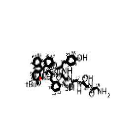 CC(C)(C)OC(=O)NN(C(=O)C(Cc1ccccc1)NC(=O)C(Cc1ccc(O)cc1)NC(=O)[C@@H](CS)NC(=O)CNC(=O)CNC(=O)CN)C(c1ccccc1)(c1ccccc1)c1ccccc1